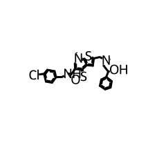 CN(Cc1cc2c(=S)c(C(=O)NCc3ccc(Cl)cc3)cn(C)c2s1)CC(O)c1ccccc1